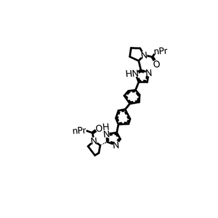 C[CH]CC(=O)N1CCCC1c1ncc(-c2ccc(-c3ccc(-c4cnc([C@@H]5CCCN5C(=O)C[CH]C)[nH]4)cc3)cc2)[nH]1